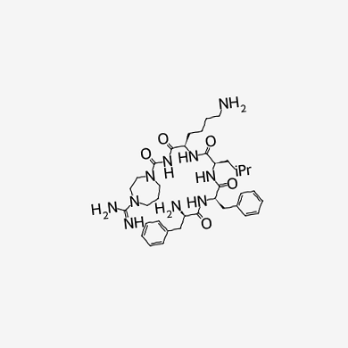 CC(C)C[C@@H](NC(=O)[C@@H](Cc1ccccc1)NC(=O)[C@H](N)Cc1ccccc1)C(=O)N[C@H](CCCCN)C(=O)NC(=O)N1CCCN(C(=N)N)CC1